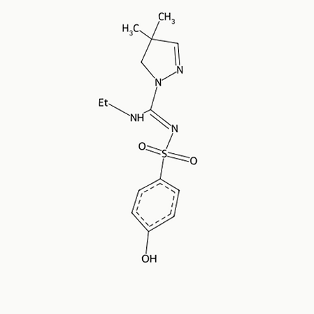 CCN/C(=N\S(=O)(=O)c1ccc(O)cc1)N1CC(C)(C)C=N1